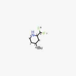 CC(C)(C)C1CCNC(C(F)F)C1